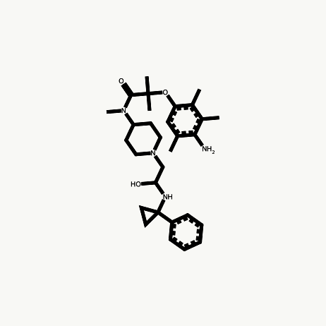 Cc1cc(OC(C)(C)C(=O)N(C)C2CCN(CC(O)NC3(c4ccccc4)CC3)CC2)c(C)c(C)c1N